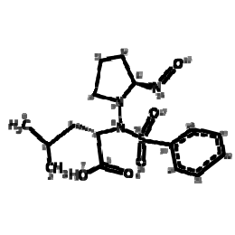 CC(C)C[C@@H](C(=O)O)N(N1CCC[C@H]1N=O)S(=O)(=O)c1ccccc1